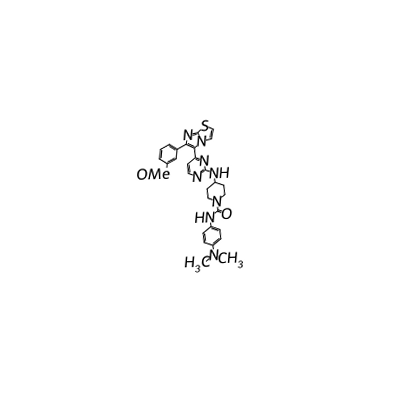 COc1cccc(-c2nc3sccn3c2-c2ccnc(NC3CCN(C(=O)Nc4ccc(N(C)C)cc4)CC3)n2)c1